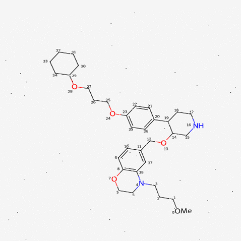 COCCCN1CCOc2ccc(COC3CNCCC3c3ccc(OCCCOC4CCCCC4)cc3)cc21